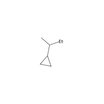 C[CH]C(C)C1CC1